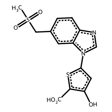 CS(=O)(=O)Cc1ccc2ncn(-c3cc(O)c(C(=O)O)s3)c2c1